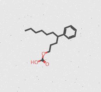 CCCCCCC(CCCOC(=O)O)c1ccccc1